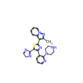 Cc1nn2ccccc2c1-c1nc(-c2cccnc2N2CCNCC2)c(C2=NCC=N2)s1